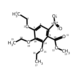 CCOc1cc([N+](=O)[O-])c(C(=O)OC)c(OCC)c1OCC